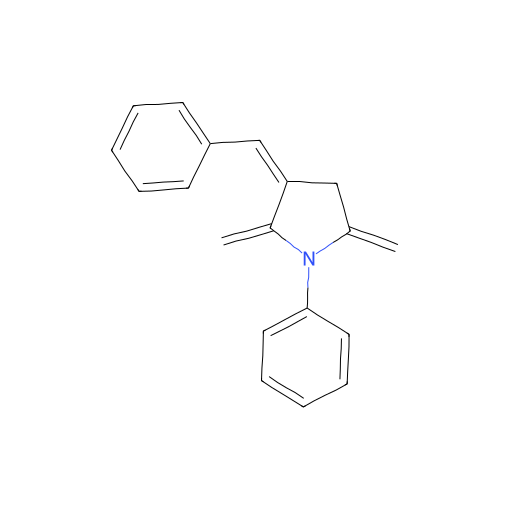 C=C1CC(=Cc2ccccc2)C(=C)N1c1ccccc1